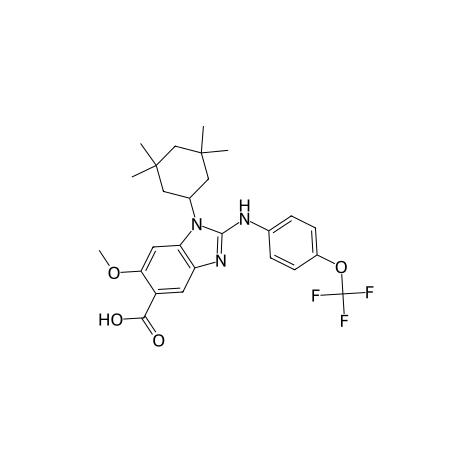 COc1cc2c(cc1C(=O)O)nc(Nc1ccc(OC(F)(F)F)cc1)n2C1CC(C)(C)CC(C)(C)C1